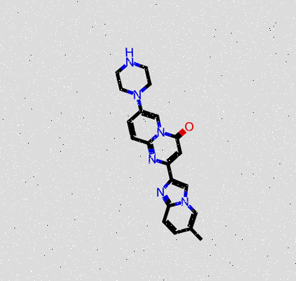 Cc1ccc2nc(-c3cc(=O)n4cc(N5CCNCC5)ccc4n3)cn2c1